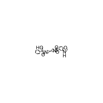 O=C([C@H](CO)c1ccccc1)N1CC(=C2CN(S(=O)(=O)c3ccc4c(c3)NCCO4)C2)C1